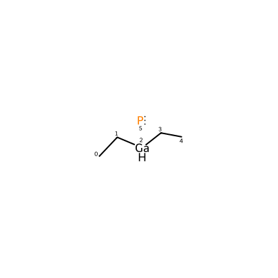 C[CH2][GaH][CH2]C.[P]